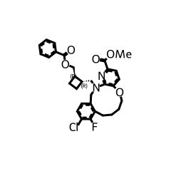 COC(=O)c1ccc2c(n1)N(C[C@@H]1CC[C@H]1COC(=O)c1ccccc1)Cc1ccc(Cl)c(F)c1CCCCO2